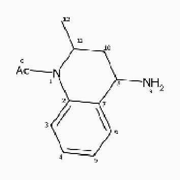 CC(=O)N1c2ccccc2C(N)CC1C